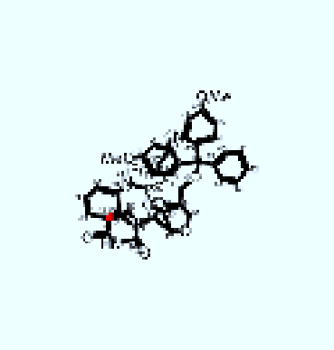 COc1ccc(C(O[C@@H](C)C23COC(C(n4ccc(=O)[nH]c4=O)O2)C3OP(OCCC#N)N(c2ccccc2C(C)C)C(C)C)(c2ccccc2)c2ccc(OC)cc2)cc1